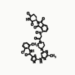 Cc1nc(Nc2ncc(C(=O)Nc3c(C)cccc3Cl)s2)cc(N2CCN(C(=O)C[S+]([O-])c3cccc4c3C(=O)N(C3CCC(=O)NC3=O)C4=O)CC2)n1